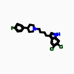 Fc1ccc(C2CCN(CCCCc3c[nH]c4cc(Cl)c(Cl)cc34)CC2)cc1